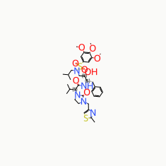 COc1cc(S(=O)(=O)N(CC(C)C)C[C@@H](O)[C@H](Cc2ccccc2)NC(=O)[C@H](C(C)C)N2CCN(Cc3csc(C)n3)C2=O)cc(OC)c1OC